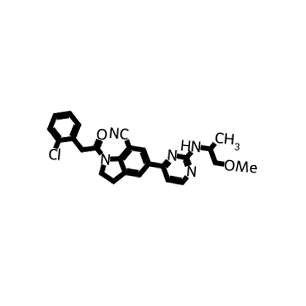 COCC(C)Nc1nccc(-c2cc(C#N)c3c(c2)CCN3C(=O)Cc2ccccc2Cl)n1